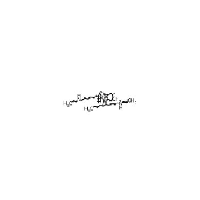 C=CCN.C=CCNCCCCCCCCCC.C=CCNCCCCCC[N+](C)(C)C.ClCC1CO1